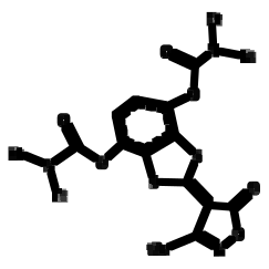 CCN(CC)C(=O)Oc1ccc(OC(=O)N(CC)CC)c2c1SC(=C1C(=O)ON=C1C(C)(C)C)S2